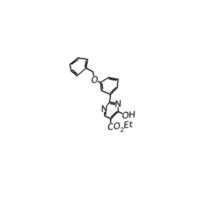 CCOC(=O)c1cnc(-c2cccc(OCc3ccccc3)c2)nc1O